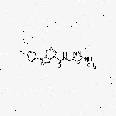 CNc1nnc(CNC(=O)c2cncc3c2cnn3-c2ccc(F)cc2)s1